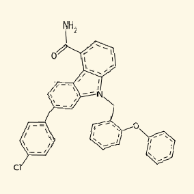 NC(=O)c1cccc2c1c1[c]cc(-c3ccc(Cl)cc3)cc1n2Cc1ccccc1Oc1ccccc1